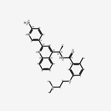 Cc1ccc(OCCN(C)C)cc1C(=O)N[C@H](C)c1cc(-c2ccc(N)nc2)nc2ccccc12